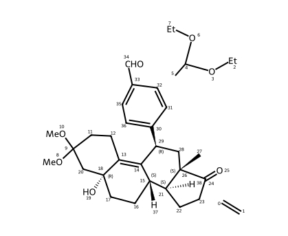 C=C.CCOC(C)OCC.COC1(OC)CCC2=C3[C@@H](CC[C@@]2(O)C1)[C@@H]1CCC(=O)[C@@]1(C)C[C@@H]3c1ccc(C=O)cc1